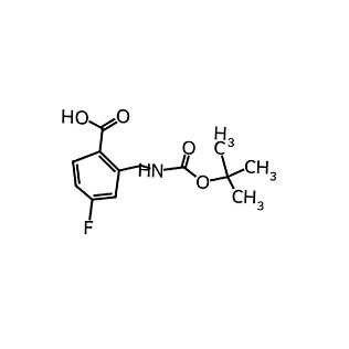 CC(C)(C)OC(=O)NCc1cc(F)ccc1C(=O)O